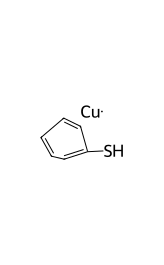 Sc1ccccc1.[Cu]